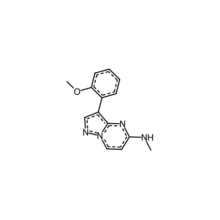 CNc1ccn2ncc(-c3ccccc3OC)c2n1